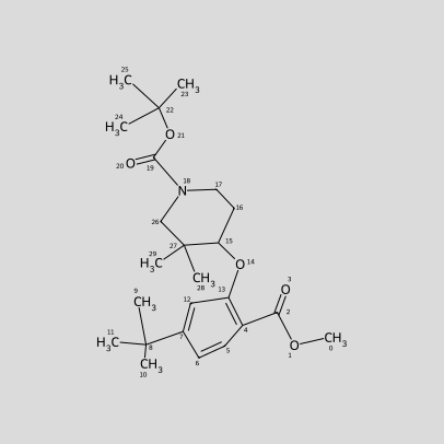 COC(=O)c1ccc(C(C)(C)C)cc1OC1CCN(C(=O)OC(C)(C)C)CC1(C)C